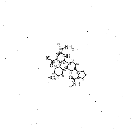 CNC(=O)[C@@H]1CCCN1C1=CCN(C(=NCC(=O)O)NC(=O)[C@H](C)N)C(C2CCCCC2)C1.Cl